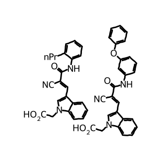 CCCc1ccccc1NC(=O)/C(C#N)=C/c1cn(CC(=O)O)c2ccccc12.N#C/C(=C\c1cn(CC(=O)O)c2ccccc12)C(=O)Nc1cccc(Oc2ccccc2)c1